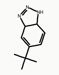 CC(C)(C)C1=CC2N=NNC2C=C1